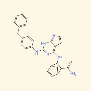 NC(=O)C1C2C=CC(C2)C1Nc1nc(Nc2ccc(Cc3ccccc3)cc2)[nH]c2nccc1-2